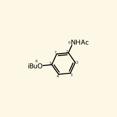 CC(=O)Nc1cccc(OCC(C)C)c1